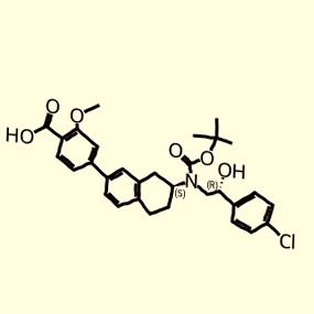 COc1cc(-c2ccc3c(c2)C[C@@H](N(C[C@H](O)c2ccc(Cl)cc2)C(=O)OC(C)(C)C)CC3)ccc1C(=O)O